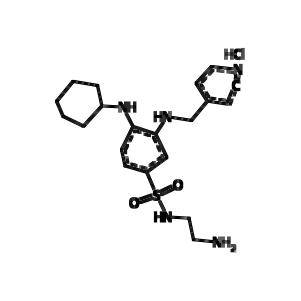 Cl.NCCNS(=O)(=O)c1ccc(NC2CCCCC2)c(NCc2ccncc2)c1